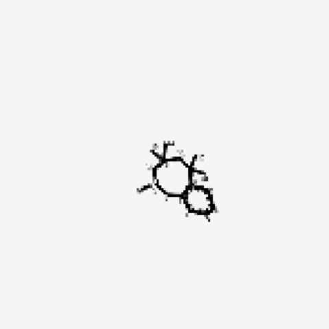 CN1Cc2ccccc2C(C)(C)CC(C)(C)C1